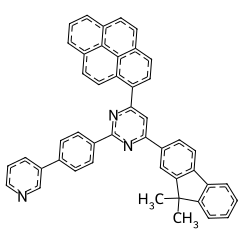 CC1(C)c2ccccc2-c2ccc(-c3cc(-c4ccc5ccc6cccc7ccc4c5c67)nc(-c4ccc(-c5cccnc5)cc4)n3)cc21